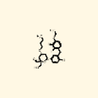 CCCCO[C@@H]1C[C@H](c2ccc(Cl)c(Cc3ccc(OCC)c(F)c3F)c2)O[C@@](C=O)(CO)C1